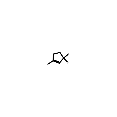 CC1=CC(F)(F)CC1